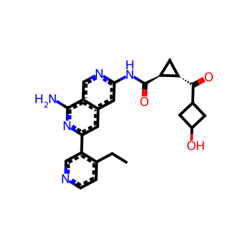 CCc1ccncc1-c1cc2cc(NC(=O)[C@H]3C[C@@H]3C(=O)C3CC(O)C3)ncc2c(N)n1